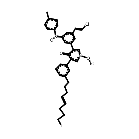 CCOn1cc(-c2cccc(CCCC=CCCCI)c2)c(=O)c(-c2cc(C=CCl)cc([S+]([O-])c3ccc(C)cc3)c2)c1